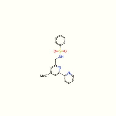 COc1cc(CNS(=O)(=O)c2ccccc2)nc(-c2ccccn2)c1